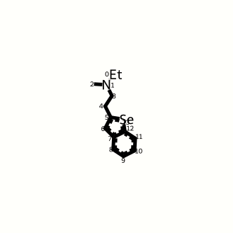 CCN(C)CCc1cc2ccccc2[se]1